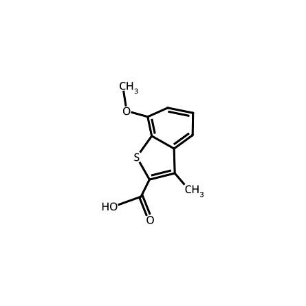 COc1cccc2c(C)c(C(=O)O)sc12